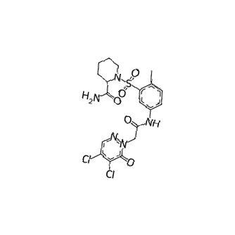 Cc1ccc(NC(=O)Cn2ncc(Cl)c(Cl)c2=O)cc1S(=O)(=O)N1CCCCC1C(N)=O